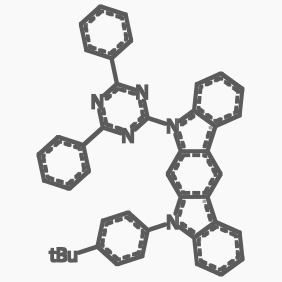 CC(C)(C)c1ccc(-n2c3ccccc3c3cc4c5ccccc5n(-c5nc(-c6ccccc6)nc(-c6ccccc6)n5)c4cc32)cc1